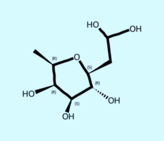 C[C@H]1O[C@@H](CC(O)O)[C@H](O)[C@@H](O)[C@H]1O